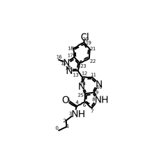 CCCNC(=O)c1c[nH]c2ncc(-c3nn(C)c4cc(Cl)ccc34)nc12